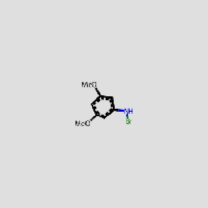 COc1cc(NBr)cc(OC)c1